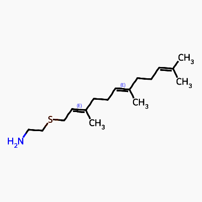 CC(C)=CCC/C(C)=C/CC/C(C)=C/CSCCN